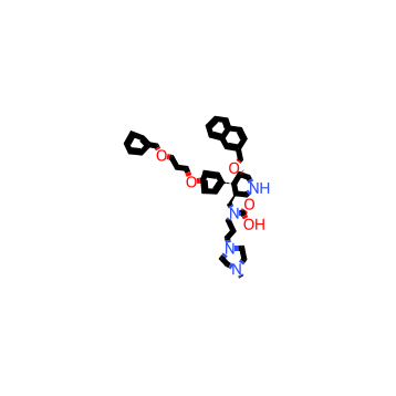 CN1CCN(CCCN(C[C@@H]2CNC[C@H](OCc3ccc4ccccc4c3)[C@H]2c2ccc(OCCCOCc3ccccc3)cc2)C(=O)O)CC1